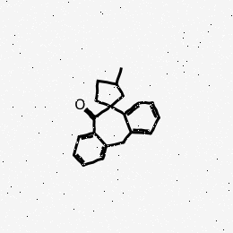 CC1CCC2(C1)C(=O)c1ccccc1Cc1ccccc12